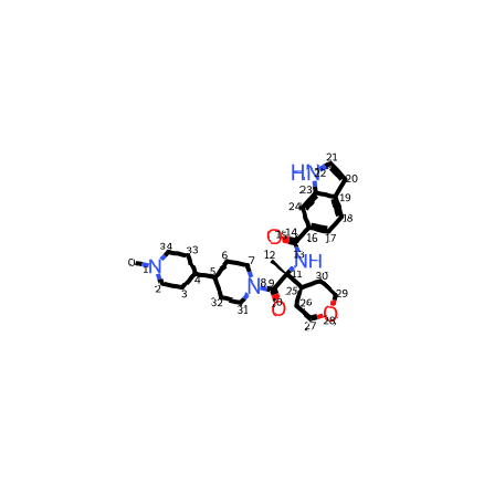 CN1CCC(C2CCN(C(=O)[C@](C)(NC(=O)c3ccc4cc[nH]c4c3)C3CCOCC3)CC2)CC1